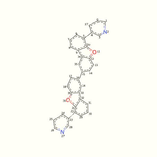 c1cncc(-c2cccc3c2oc2ccc(-c4ccc5oc6c(-c7cccnc7)cccc6c5c4)cc23)c1